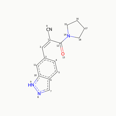 N#C/C(=C/c1ccc2cn[nH]c2c1)C(=O)N1CCCC1